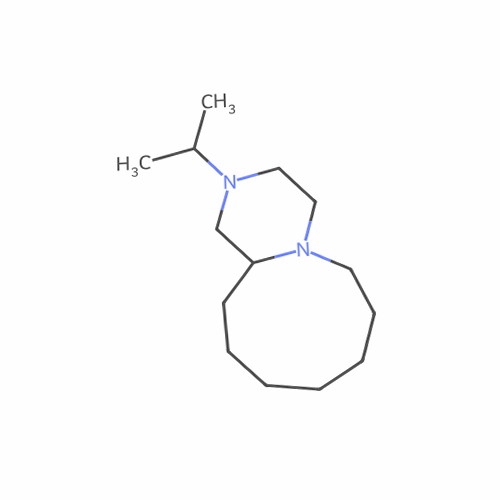 CC(C)N1CCN2CCCCCCCC2C1